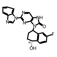 O=c1[nH]c2cnc(-n3cnc4ccccc43)nc2n1C1CC[C@@H](O)c2ccc(F)cc21